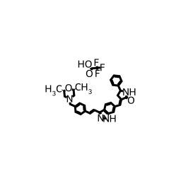 C[C@@H]1CN(Cc2ccc(/C=C/c3n[nH]c4cc(/C=C5\CC(c6ccccc6)NC5=O)ccc34)cc2)C[C@H](C)O1.O=C(O)C(F)(F)F